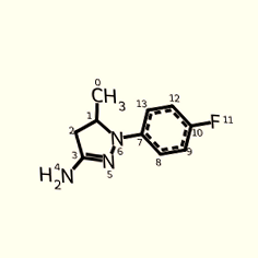 CC1CC(N)=NN1c1ccc(F)cc1